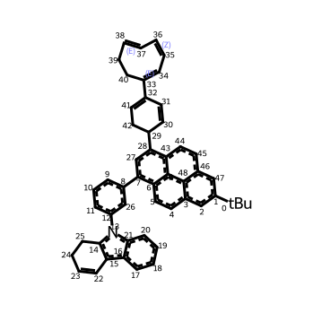 CC(C)(C)c1cc2ccc3c(-c4cccc(-n5c6c(c7ccccc75)C=CCC6)c4)cc(C4C=CC(/C5=C/C=C\C=C\CC5)=CC4)c4ccc(c1)c2c34